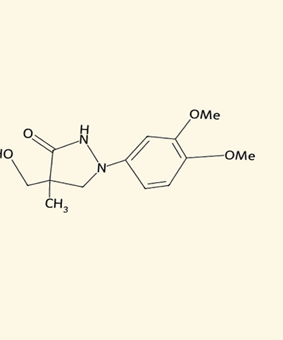 COc1ccc(N2CC(C)(CO)C(=O)N2)cc1OC